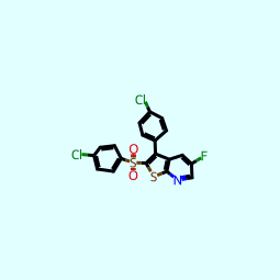 O=S(=O)(c1ccc(Cl)cc1)c1sc2ncc(F)cc2c1-c1ccc(Cl)cc1